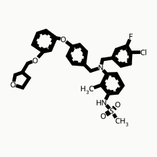 Cc1c(NS(C)(=O)=O)cccc1N(Cc1ccc(Oc2cccc(OCC3CCOC3)c2)cc1)Cc1ccc(Cl)c(F)c1